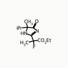 CCOC(=O)C(C)(F)C1=NC(=O)C(C)(C(C)C)N1